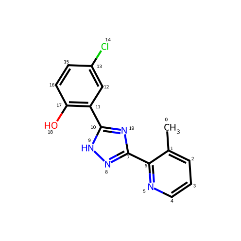 Cc1cccnc1-c1n[nH]c(-c2cc(Cl)ccc2O)n1